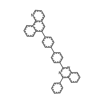 c1ccc(-c2nc(-c3ccc(-c4ccc(-c5cc6cccnc6c6ccccc56)cc4)cc3)nc3ccccc23)cc1